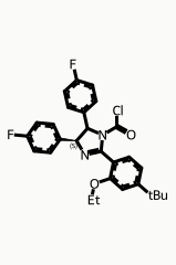 CCOc1cc(C(C)(C)C)ccc1C1=N[C@@H](c2ccc(F)cc2)C(c2ccc(F)cc2)N1C(=O)Cl